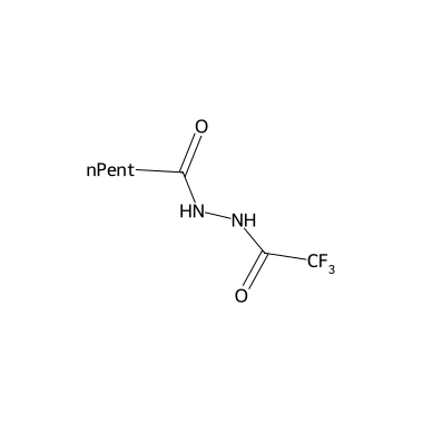 CCCCCC(=O)NNC(=O)C(F)(F)F